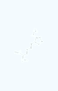 COC(CCCCN1CCC[C@H]1CO)OC